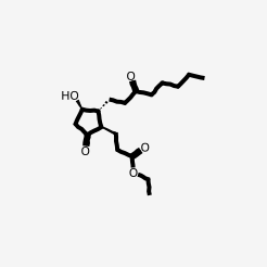 CCCCCC(=O)CC[C@H]1[C@H](O)CC(=O)[C@@H]1CCC(=O)OCC